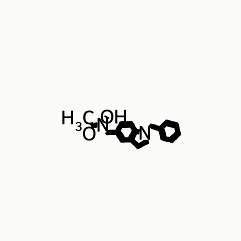 CC(=O)N(O)Cc1ccc2c(c1)CCN2Cc1ccccc1